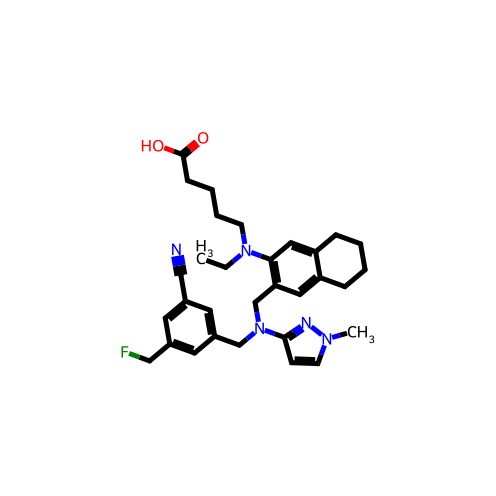 CCN(CCCCC(=O)O)c1cc2c(cc1CN(Cc1cc(C#N)cc(CF)c1)c1ccn(C)n1)CCCC2